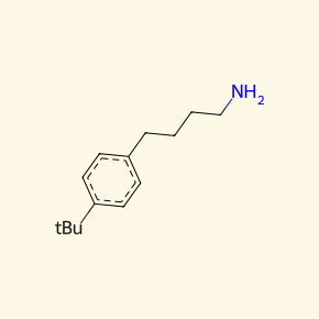 CC(C)(C)c1ccc(CCCCN)cc1